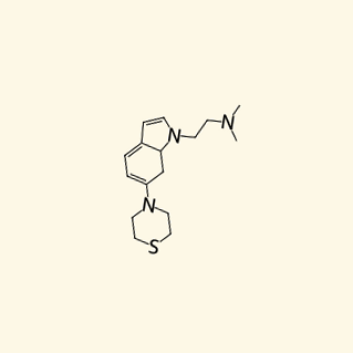 CN(C)CCN1C=CC2=CC=C(N3CCSCC3)CC21